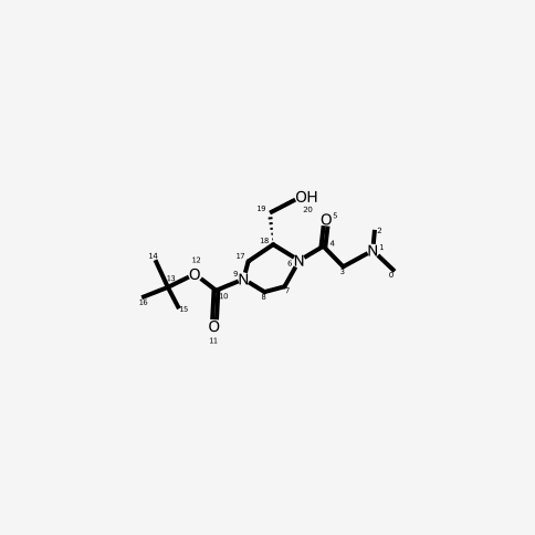 CN(C)CC(=O)N1CCN(C(=O)OC(C)(C)C)C[C@@H]1CO